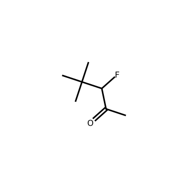 CC(=O)C(F)C(C)(C)C